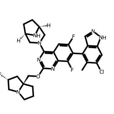 Cc1c(Cl)cc2[nH]ncc2c1-c1c(F)cc2c(N3C[C@H]4CC[C@@H](C3)N4)nc(OC[C@@]34CCCN3C[C@H](F)C4)nc2c1F